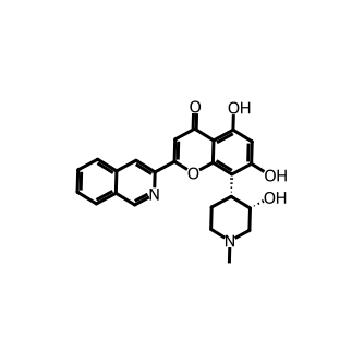 CN1CC[C@H](c2c(O)cc(O)c3c(=O)cc(-c4cc5ccccc5cn4)oc23)[C@H](O)C1